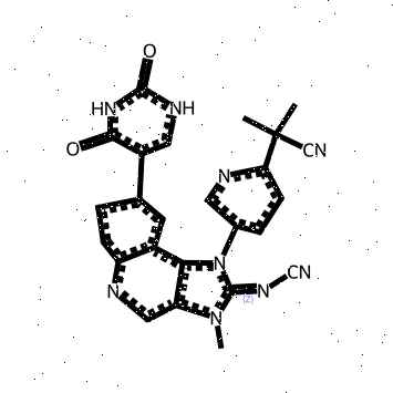 Cn1/c(=N/C#N)n(-c2ccc(C(C)(C)C#N)nc2)c2c3cc(-c4c[nH]c(=O)[nH]c4=O)ccc3ncc21